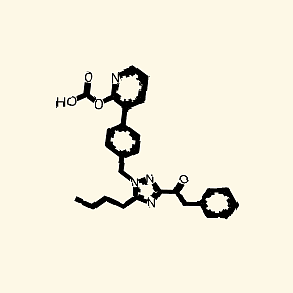 CCCCc1nc(C(=O)Cc2ccccc2)nn1Cc1ccc(-c2cccnc2OC(=O)O)cc1